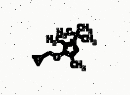 Cc1cn(C(C)(C)C)c(C)c1OCC1CC1